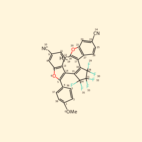 COc1ccc(-c2oc3cc(C#N)ccc3c2C2=C(c3c(C)oc4cc(C#N)ccc34)C(F)(F)C(F)(F)C2(F)F)cc1